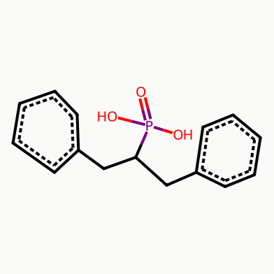 O=P(O)(O)C(Cc1ccccc1)Cc1ccccc1